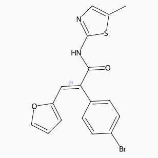 Cc1cnc(NC(=O)/C(=C/c2ccco2)c2ccc(Br)cc2)s1